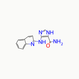 NC(=O)c1[nH]cnc1Nc1ccc2ccccc2n1